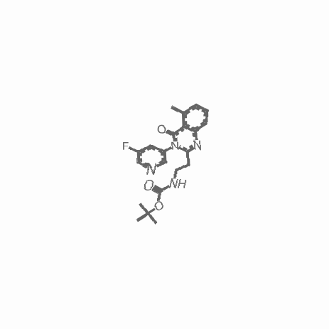 Cc1cccc2nc(CCNC(=O)OC(C)(C)C)n(-c3cncc(F)c3)c(=O)c12